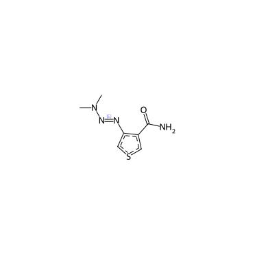 CN(C)/N=N/c1cscc1C(N)=O